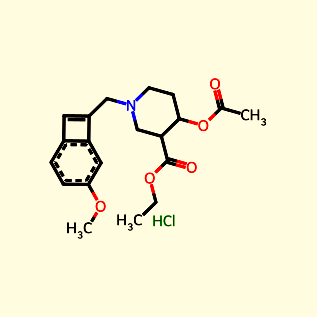 CCOC(=O)C1CN(CC2=Cc3ccc(OC)cc32)CCC1OC(C)=O.Cl